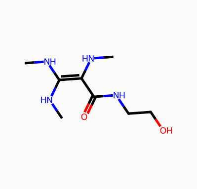 CNC(NC)=C(NC)C(=O)NCCO